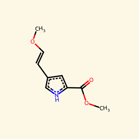 COC=Cc1c[nH]c(C(=O)OC)c1